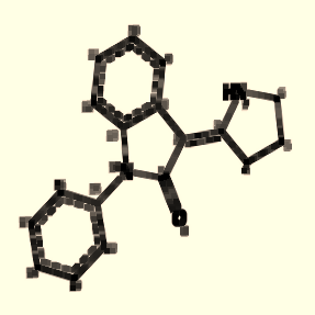 O=C1/C(=C2\CCCN2)c2ccccc2N1c1ccccc1